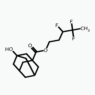 CC(F)(F)C(F)CCOC(=O)C12CC3CC(CC(O)(C3)C1)C2